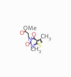 COC(=O)CCn1c(=O)c2c(C)csc2n(C)c1=O